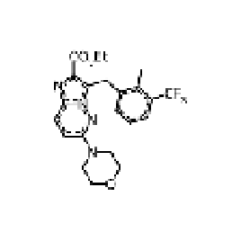 CCOC(=O)c1nc2ccc(N3CCOCC3)nn2c1Cc1cccc(C(F)(F)F)c1C